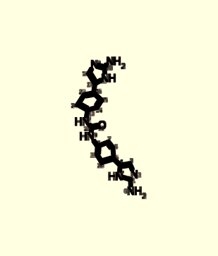 Nc1ncc(-c2ccc(NC(=O)Nc3ccc(-c4cnc(N)[nH]4)cc3)cc2)[nH]1